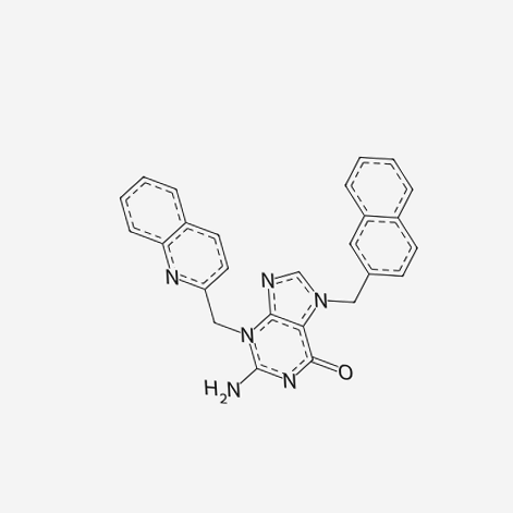 Nc1nc(=O)c2c(ncn2Cc2ccc3ccccc3c2)n1Cc1ccc2ccccc2n1